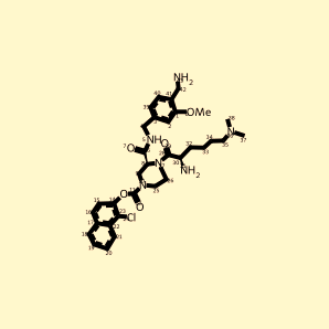 COc1cc(CNC(=O)[C@@H]2CN(C(=O)Oc3ccc4ccccc4c3Cl)CCN2C(=O)[C@H](N)CCCCN(C)C)ccc1CN